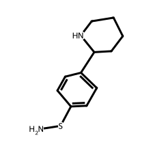 NSc1ccc(C2CCCCN2)cc1